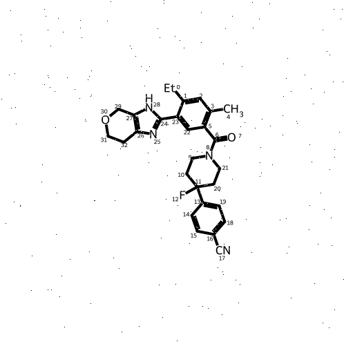 CCc1cc(C)c(C(=O)N2CCC(F)(c3ccc(C#N)cc3)CC2)cc1-c1nc2c([nH]1)COCC2